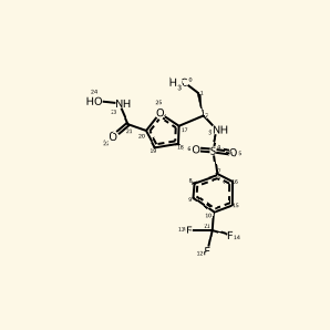 CC[C@@H](NS(=O)(=O)c1ccc(C(F)(F)F)cc1)c1ccc(C(=O)NO)o1